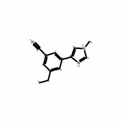 CCc1cc(C#N)cc(-c2cn(C)cn2)c1